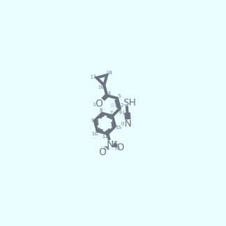 N#CS.O=C(/C=C\c1cccc([N+](=O)[O-])c1)C1CC1